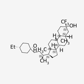 CC[C@H]1CC[C@](O)(CC[C@H](C)[C@@H]2CC[C@H]3[C@@H]4CC[C@H]5C[C@](O)(C(F)(F)F)CC[C@]5(C)[C@H]4CC[C@@]32C)CC1